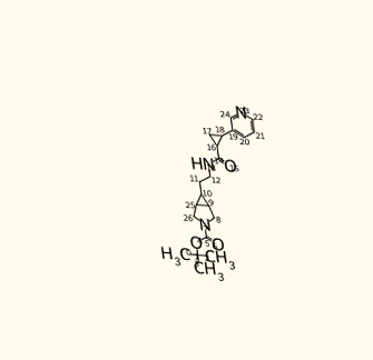 CC(C)(C)OC(=O)N1CC2C(CCNC(=O)C3CC3c3cccnc3)C2C1